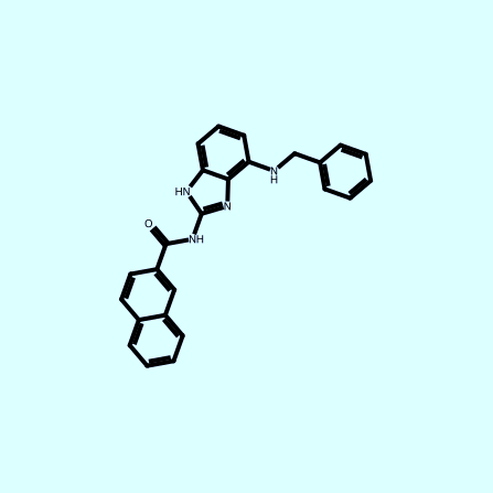 O=C(Nc1nc2c(NCc3ccccc3)cccc2[nH]1)c1ccc2ccccc2c1